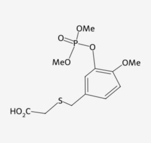 COc1ccc(CSCC(=O)O)cc1OP(=O)(OC)OC